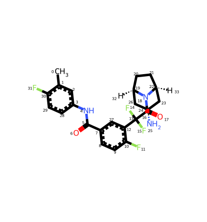 Cc1cc(NC(=O)c2ccc(F)c(C(F)(F)C(=O)N3[C@@H]4CC[C@H]3C[C@H](N)C4)c2)ccc1F